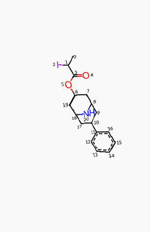 CC(I)C(=O)OC1CC2CC(c3ccccc3)CC(C1)N2